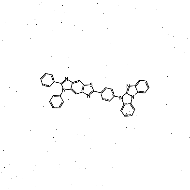 c1ccc(-c2nc3cc4sc(-c5ccc(-n6c7ccccc7n7c8ccccc8nc67)cc5)nc4cc3n2-c2ccccc2)cc1